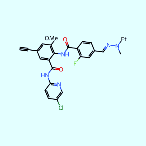 C#Cc1cc(OC)c(NC(=O)c2ccc(C=NN(C)CC)cc2F)c(C(=O)Nc2ccc(Cl)cn2)c1